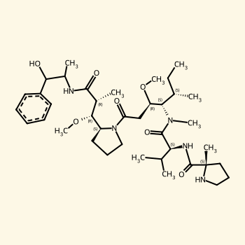 CC[C@H](C)[C@@H]([C@@H](CC(=O)N1CCC[C@H]1[C@H](OC)[C@@H](C)C(=O)NC(C)C(O)c1ccccc1)OC)N(C)C(=O)[C@@H](NC(=O)[C@]1(C)CCCN1)C(C)C